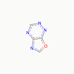 [c]1nnc2ocnc2n1